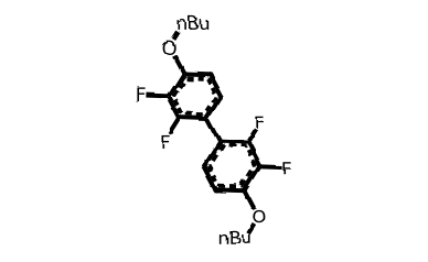 CCCCOc1ccc(-c2ccc(OCCCC)c(F)c2F)c(F)c1F